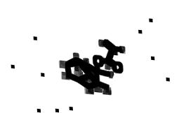 C=C(C)C(=O)OC1(C)C2CC3CC(C2)CC1(C)C3